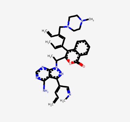 C=C/C=C(\C=N/C)c1nn(C(C)c2oc(=O)c3ccccc3c2C(/C=C(\C=C)CN2CCN(C)CC2)=C/C)c2ncnc(N)c12